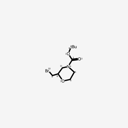 CC(C)(C)OC(=O)N1CCOC(CBr)C1